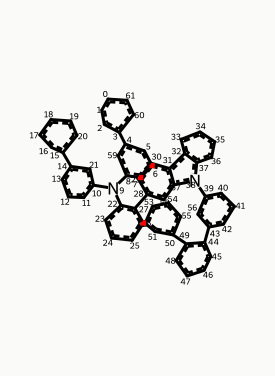 c1ccc(-c2cccc(N(c3cccc(-c4ccccc4)c3)c3ccccc3-c3ccc4c5ccccc5n(-c5cccc(-c6ccccc6-c6ccccc6)c5)c4c3)c2)cc1